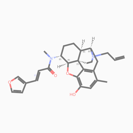 C=CCN1CC[C@]23c4c5c(C)cc(O)c4O[C@H]2[C@H](N(C)C(=O)/C=C/c2ccoc2)CC[C@H]3[C@H]1C5